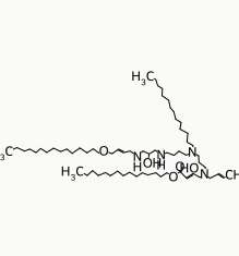 C/C=C/CN(C/C=C/C(=O)OCCCCCCCCCCCCCCC)CC(O)CN(CCCCCCCCCCCCCC)CCCCNCC(O)CNC/C=C/COCCCCCCCCCCCCCCC